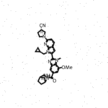 COc1cc(C(=O)N2CC3CCC2[C@@H]3N)cc2nc(-c3cc4ccc(N5CC[C@H](C#N)C5)nc4n3CC3CC3)n(C)c12